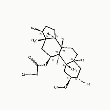 CCO[C@H]1C[C@@]2(C)[C@@H](CC[C@@H]3[C@@H]2[C@@H](OC(=O)CCl)C[C@]2(C)[C@@H](C(C)=O)CC[C@@H]32)C[C@@H]1O